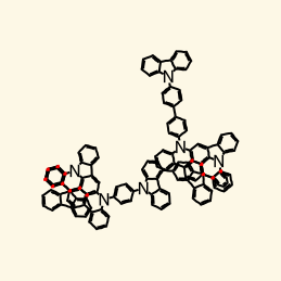 c1ccc(-c2ccc(-c3ccccc3N(c3ccc(-n4c5ccccc5c5c(-c6ccc7c(c6)-c6ccccc6C76c7ccccc7-n7c8ccccc8c8cc(N(c9ccc(-c%10ccc(-n%11c%12ccccc%12c%12ccccc%12%11)cc%10)cc9)c9ccccc9-c9ccc(-c%10ccccc%10)cc9)cc6c87)cccc54)cc3)c3cc4c5c(c3)c3ccccc3n5-c3ccccc3C43c4ccccc4-c4ccccc43)cc2)cc1